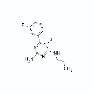 CCCNc1nc(N)nc(-c2cccc(F)c2)c1I